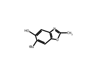 Cc1nc2cc(O)c(C(C)(C)C)cc2o1